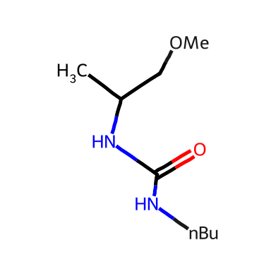 CCCCNC(=O)NC(C)COC